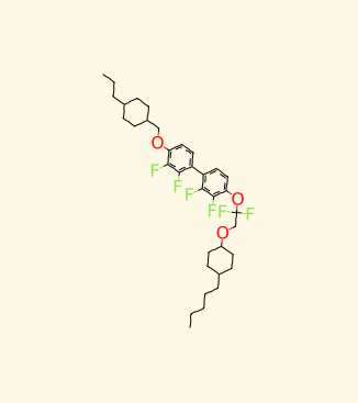 CCCCCC1CCC(OCC(F)(F)Oc2ccc(-c3ccc(OCC4CCC(CCC)CC4)c(F)c3F)c(F)c2F)CC1